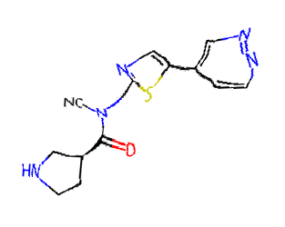 N#CN(C(=O)[C@H]1CCNC1)c1ncc(-c2ccnnc2)s1